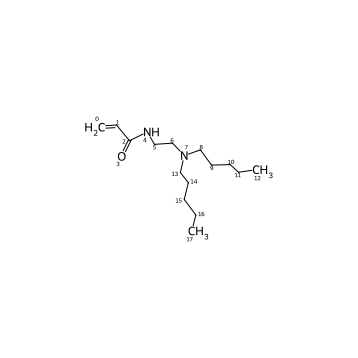 C=CC(=O)NCCN(CCCCC)CCCCC